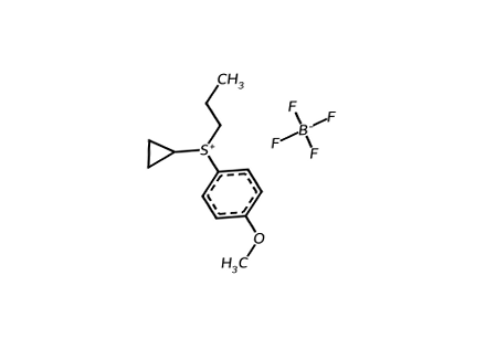 CCC[S+](c1ccc(OC)cc1)C1CC1.F[B-](F)(F)F